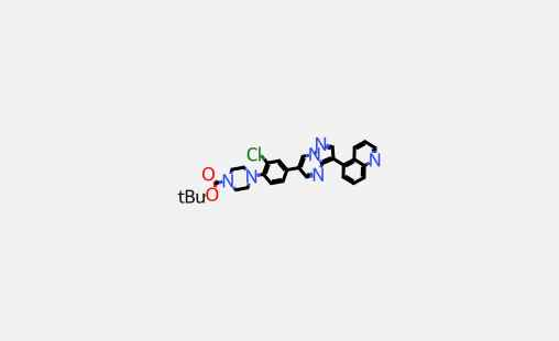 CC(C)(C)OC(=O)N1CCN(c2ccc(-c3cnc4c(-c5cccc6ncccc56)cnn4c3)cc2Cl)CC1